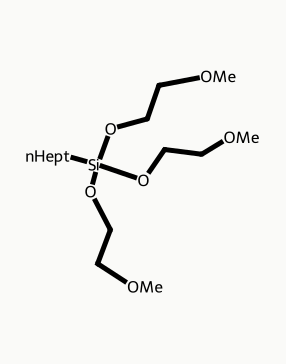 CCCCCCC[Si](OCCOC)(OCCOC)OCCOC